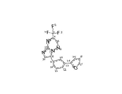 FC(F)(F)c1cnn2c(-c3cccc(-c4ccco4)c3)cnc2n1